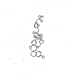 O=C(O)Cn1ccc(CC(=O)NS(=O)(=O)c2ccc3c(c2)N(CC2CCNC2)C[C@@]2(CCCc4cc(Cl)ccc42)CO3)n1